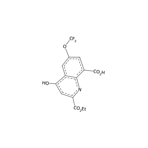 CCOC(=O)c1cc(O)c2cc(OC(F)(F)F)cc(C(=O)O)c2n1